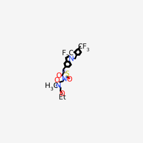 CCOCCN(C)C(=O)CN1C(=O)S/C(=C\c2ccc3c(ccn3Cc3ccc(C(F)(F)F)cc3C(F)(F)F)c2)C1=O